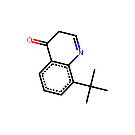 CC(C)(C)c1cccc2c1N=CCC2=O